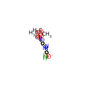 CO[C@@H]1[C@@H](OC)[C@H](C)O[C@@H](ON=Cc2ccc(-c3ncn(-c4ccc([S+]([O-])C(F)(F)F)cc4)n3)cc2)[C@@H]1OC